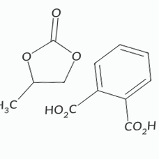 CC1COC(=O)O1.O=C(O)c1ccccc1C(=O)O